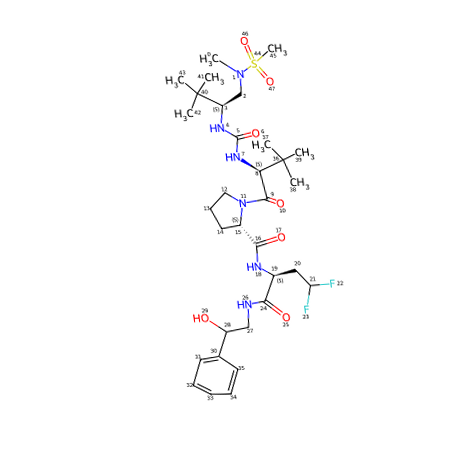 CN(C[C@@H](NC(=O)N[C@H](C(=O)N1CCC[C@H]1C(=O)N[C@@H](CC(F)F)C(=O)NCC(O)c1ccccc1)C(C)(C)C)C(C)(C)C)S(C)(=O)=O